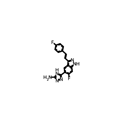 Nc1nnc(-c2cc3c(/C=C/c4ccc(F)cc4)n[nH]c3cc2F)[nH]1